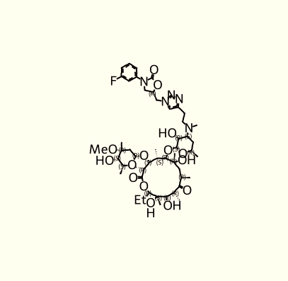 CC[C@H]1OC(=O)[C@H](C)[C@@H](O[C@H]2C[C@@](C)(OC)[C@@H](O)[C@H](C)O2)[C@H](C)[C@@H](O[C@@H]2O[C@H](C)C[C@H](N(C)CCc3cn(C[C@H]4CN(c5cccc(F)c5)C(=O)O4)nn3)[C@H]2O)[C@](C)(O)C[C@@H](C)C(=O)[C@H](C)[C@@H](O)[C@]1(C)O